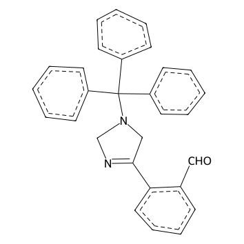 O=Cc1ccccc1C1=NCN(C(c2ccccc2)(c2ccccc2)c2ccccc2)C1